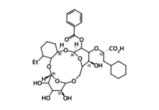 CCC1CCC[C@H]2O[C@@H]3OC(COC4O[C@@H](OC12)C(O)C(O)[C@@H]4O)[C@H](O)C(O[C@@H](CC1CCCCC1)C(=O)O)C3OC(=O)c1ccccc1